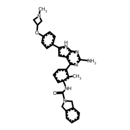 Cc1c(NC(=O)N2Cc3ccccc3C2)cccc1-c1nc(N)nc2[nH]c(-c3ccc(OC4CN(C)C4)cc3)cc12